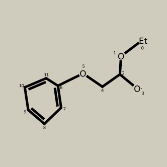 CCOC([O])COc1ccccc1